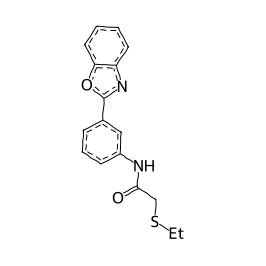 CCSCC(=O)Nc1cccc(-c2nc3ccccc3o2)c1